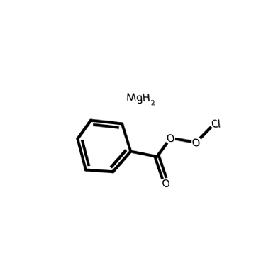 O=C(OOCl)c1ccccc1.[MgH2]